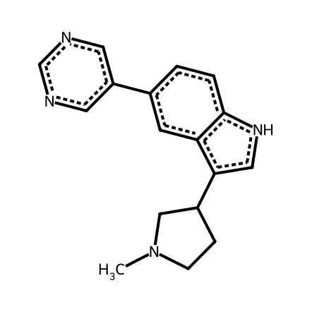 CN1CCC(c2c[nH]c3ccc(-c4cncnc4)cc23)C1